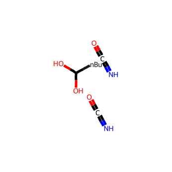 CCCCC(O)O.N=C=O.N=C=O